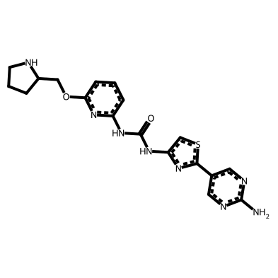 Nc1ncc(-c2nc(NC(=O)Nc3cccc(OCC4CCCN4)n3)cs2)cn1